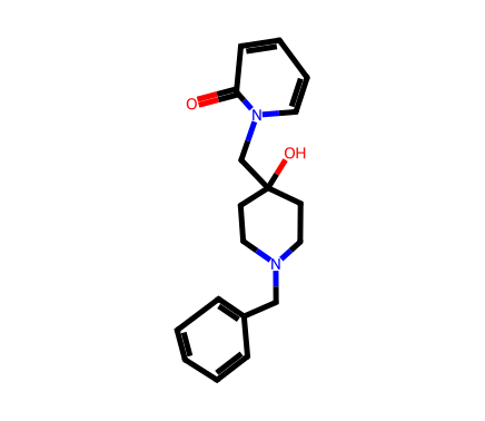 O=c1ccccn1CC1(O)CCN(Cc2ccccc2)CC1